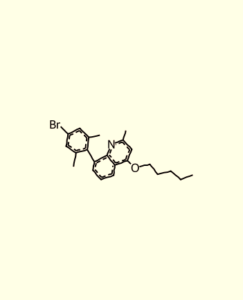 CCCCCOc1cc(C)nc2c(-c3c(C)cc(Br)cc3C)cccc12